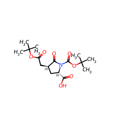 CC(C)(C)OC(=O)C[C@@H]1C[C@@H](C(=O)O)N(C(=O)OC(C)(C)C)C1=O